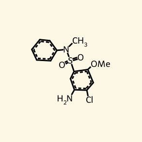 COc1cc(Cl)c(N)cc1S(=O)(=O)N(C)c1ccccc1